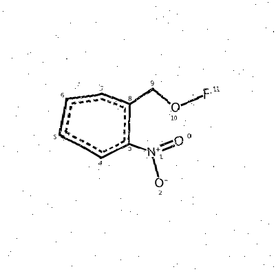 O=[N+]([O-])c1ccccc1COF